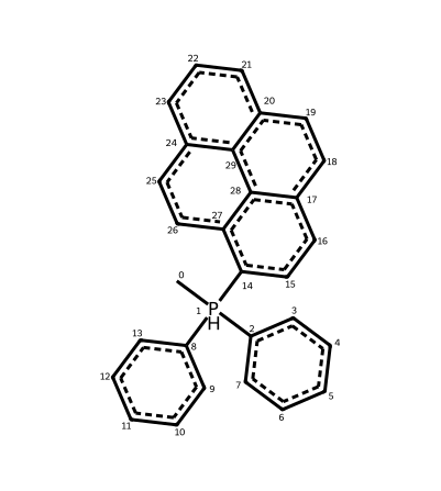 C[PH](c1ccccc1)(c1ccccc1)c1ccc2ccc3cccc4ccc1c2c34